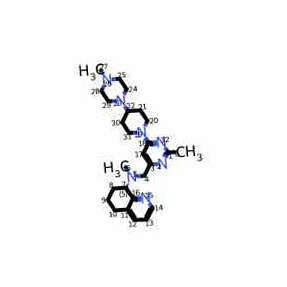 Cc1nc(CN(C)[C@H]2CCCc3cccnc32)cc(N2CCC(N3CCN(C)CC3)CC2)n1